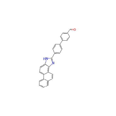 O=Cc1ccc(-c2ccc(-c3nc4c(ccc5c6ccccc6ccc54)[nH]3)cc2)cc1